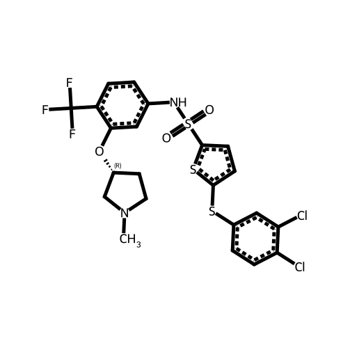 CN1CC[C@@H](Oc2cc(NS(=O)(=O)c3ccc(Sc4ccc(Cl)c(Cl)c4)s3)ccc2C(F)(F)F)C1